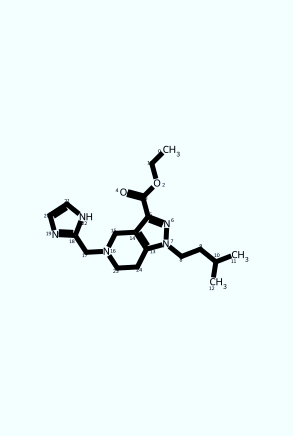 CCOC(=O)c1nn(CCC(C)C)c2c1CN(Cc1ncc[nH]1)CC2